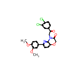 COc1ccc(-c2ccc3c(n2)N(CC(=O)c2ccc(Cl)c(Cl)c2)C(=O)CO3)cc1OC